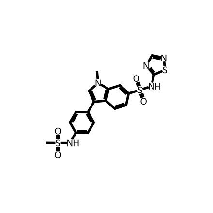 Cn1cc(-c2ccc(NS(C)(=O)=O)cc2)c2ccc(S(=O)(=O)Nc3ncns3)cc21